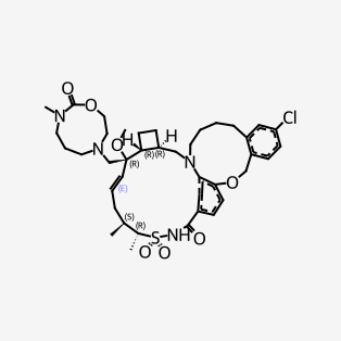 CO[C@@]1(CN2CCCN(C)C(=O)OCC2)/C=C/C[C@H](C)[C@@H](C)S(=O)(=O)NC(=O)c2ccc3c(c2)N(CCCCc2cc(Cl)ccc2CO3)C[C@@H]2CC[C@H]21